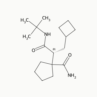 CC(C)(C)NC(=O)[C@H](CC1CCC1)C1(C(N)=O)CCCC1